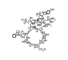 CC[C@H](C)[C@H](NC(=O)[C@H](CCCNC(=N)N)NC(=O)[C@H](CC(C)C)NC(=O)[C@@H](N)Cc1ccc(O)cc1)C(=O)N[C@H](C(=O)N[C@@H](CCC(N)=O)C(=O)N[C@H]1CSSC[C@@H](C(=O)NCC(=O)N[C@@H](Cc2ccccc2)C(=O)O)NC(=O)[C@H](CO)NC(=O)CNC(=O)[C@H](CCC(=O)O)NC(=O)[C@H](C(C)C)NC(=O)[C@H](CO)NC(=O)[C@H](CCCNC(=N)N)NC1=O)C(C)C